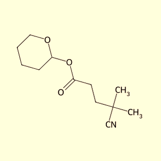 CC(C)(C#N)CCC(=O)OC1CCCCO1